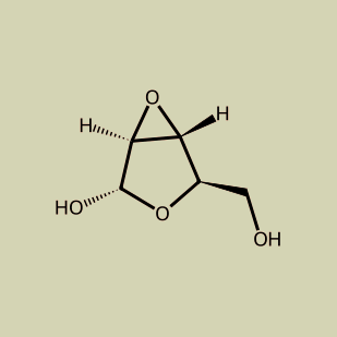 OC[C@H]1O[C@H](O)[C@H]2O[C@@H]21